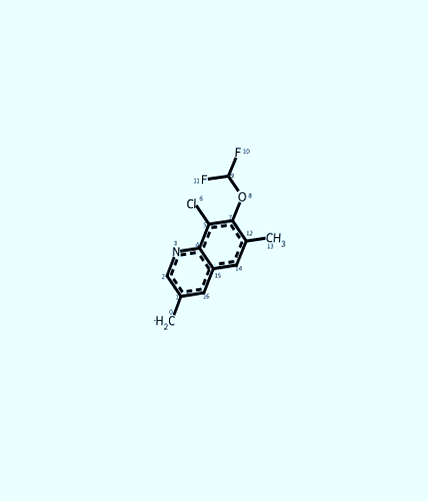 [CH2]c1cnc2c(Cl)c(OC(F)F)c(C)cc2c1